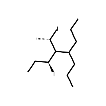 CCCC(CCC)C([C@H](C)I)[C@@H](I)CC